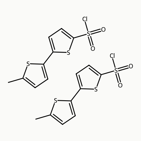 Cc1ccc(-c2ccc(S(=O)(=O)Cl)s2)s1.Cc1ccc(-c2ccc(S(=O)(=O)Cl)s2)s1